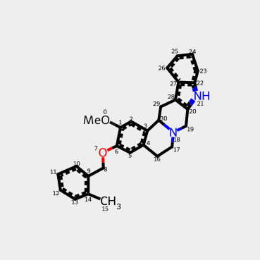 COc1cc2c(cc1OCc1ccccc1C)CCN1Cc3[nH]c4ccccc4c3CC21